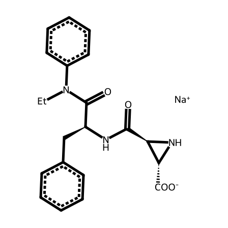 CCN(C(=O)[C@H](Cc1ccccc1)NC(=O)[C@H]1N[C@@H]1C(=O)[O-])c1ccccc1.[Na+]